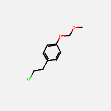 COCOc1ccc(CCCl)cc1